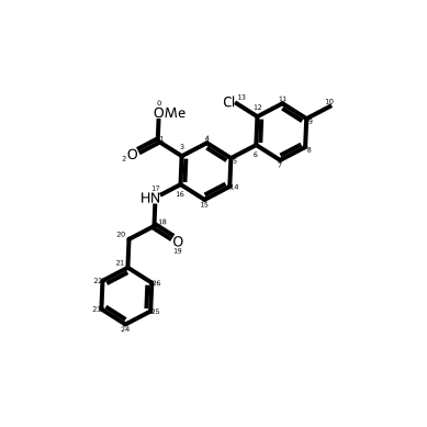 COC(=O)c1cc(-c2ccc(C)cc2Cl)ccc1NC(=O)Cc1ccccc1